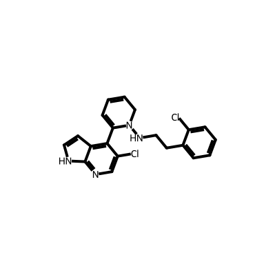 Clc1ccccc1CCNN1CC=CC=C1c1c(Cl)cnc2[nH]ccc12